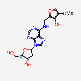 COc1coc(CNc2ncnc3c2ncn3C2C[C@H](O)[C@@H](CO)O2)c1O